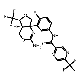 CC(F)(F)c1cnc(C(=O)Nc2ccc(F)c([C@]34CO[C@H](C(F)(F)F)[C@H]3COC(N)=N4)c2)cn1